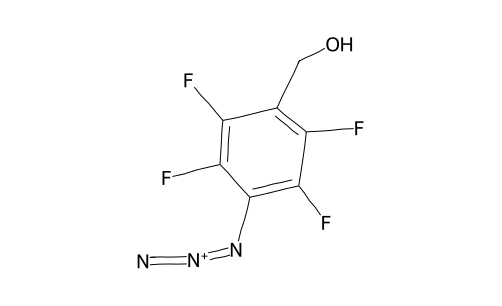 [N-]=[N+]=Nc1c(F)c(F)c(CO)c(F)c1F